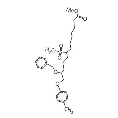 COC(=O)CCCCCCC(CCCC(COc1ccc(C)cc1)OCc1ccccc1)S(C)(=O)=O